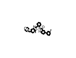 O=C(Nc1ccccc1-c1nc2cc(CN3CCOCC3)cnc2s1)c1cccc(-c2cccc(F)c2)c1